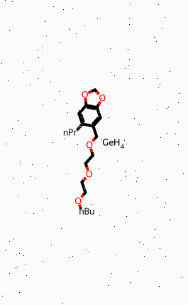 CCCCOCCOCCOCc1cc2c(cc1CCC)OCO2.[GeH4]